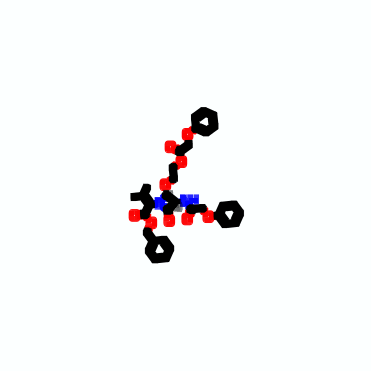 CC(C)=C(C(=O)OCc1ccccc1)N1C(=O)[C@@H](NC(=O)COc2ccccc2)[C@H]1OCCOC(=O)COc1ccccc1